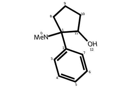 CNC1(c2ccccc2)CCCC1O